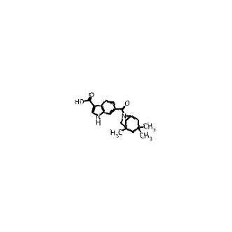 CC1(C)CC2CC(C)(CN2C(=O)c2ccc3c(C(=O)O)c[nH]c3c2)C1